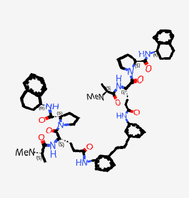 CN[C@@H](C)C(=O)N[C@@H](CCC(=O)Nc1cccc(CCc2cccc(NC(=O)CC[C@H](NC(=O)[C@H](C)NC)C(=O)N3CCC[C@H]3C(=O)N[C@@H]3CCCc4ccccc43)c2)c1)C(=O)N1CCC[C@H]1C(=O)N[C@@H]1CCCc2ccccc21